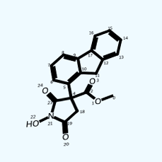 COC(=O)C1(c2cccc3c2Cc2ccccc2-3)CC(=O)N(O)C1=O